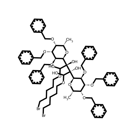 C[C@@H]1O[C@@H]([C@@](O)(C(O)OCCCCCBr)[C@](O)(C(O)OCCCCCBr)[C@@H]2O[C@@H](C)[C@@H](OCc3ccccc3)[C@@H](OCc3ccccc3)[C@@H]2OCc2ccccc2)[C@@H](OCc2ccccc2)[C@H](OCc2ccccc2)[C@@H]1OCc1ccccc1